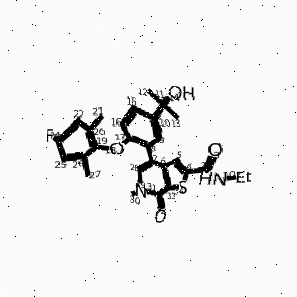 CCNC(=O)c1cc2c(-c3cc(C(C)(C)O)ccc3Oc3c(C)cc(F)cc3C)cn(C)c(=O)c2s1